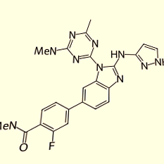 CNC(=O)c1ccc(-c2ccc3nc(Nc4cc[nH]n4)n(-c4nc(C)nc(NC)n4)c3c2)cc1F